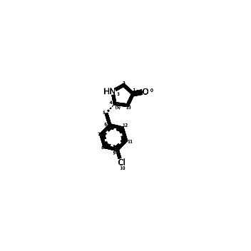 O=C1CN[C@@H](Cc2ccc(Cl)cc2)C1